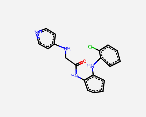 O=C(CNc1ccncc1)Nc1ccccc1Nc1ccccc1Cl